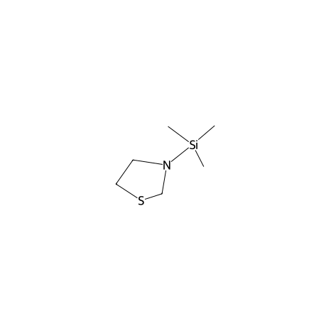 C[Si](C)(C)N1CCSC1